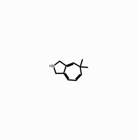 CC1(C)C=CC=C2CNCC2=C1